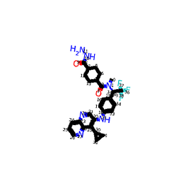 CN(C(=O)C1CCC(C(=O)NN)CC1)[C@H](c1ccc(Nc2cnc3cccnc3c2C2CC2)cc1)C(F)(F)F